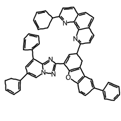 C1=CCCC(c2cc(-c3ccccc3)c3nc(C4=CC(c5ccc6ccc7ccc(C8C=CC=CC8)nc7c6n5)Cc5c4oc4ccc(-c6ccccc6)cc54)nn3c2)=C1